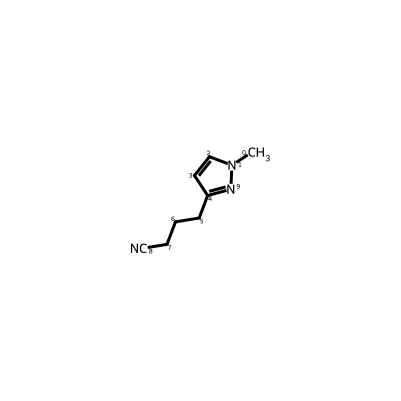 Cn1ccc(CCCC#N)n1